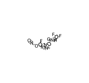 C[C@H]1c2ccc(C(=O)NCc3c(F)cc(F)cc3F)cc2N(Cc2c(F)cc(OCCN3CCOCC3)cc2F)C(=O)N1C